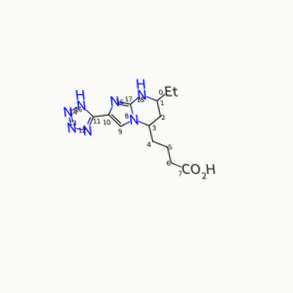 CCC1CC(CCCC(=O)O)n2cc(-c3nnn[nH]3)nc2N1